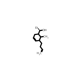 C=CCCC1C=CCC([C@H](O)CC)C1C